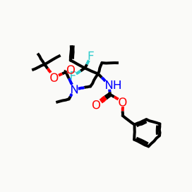 C=CC(F)(F)C(CC)(CN(CC)C(=O)OC(C)(C)C)NC(=O)OCc1ccccc1